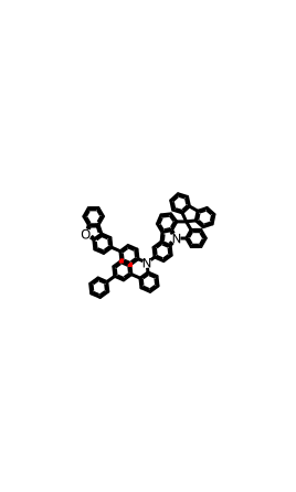 c1ccc(-c2cccc(-c3ccccc3N(c3ccc(-c4ccc5oc6ccccc6c5c4)cc3)c3ccc4c(c3)c3cccc5c3n4-c3ccccc3C53c4ccccc4-c4ccccc43)c2)cc1